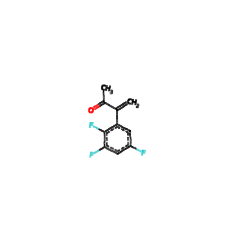 C=C(C(C)=O)c1cc(F)cc(F)c1F